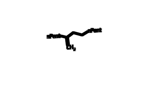 [CH2]CCCCC(=C)CCCCCCC